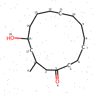 CC1CC(=O)CCCCCCCCCCC(O)C1